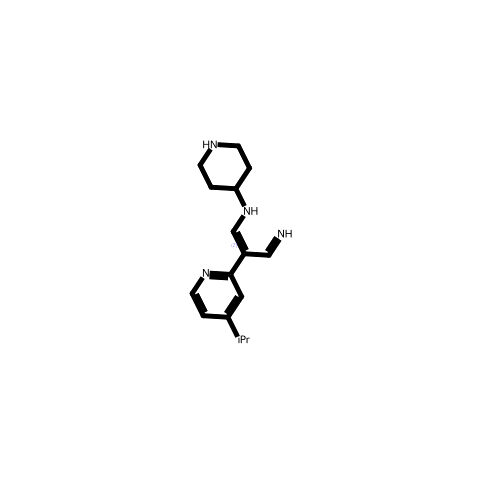 CC(C)c1ccnc(/C(C=N)=C/NC2CCNCC2)c1